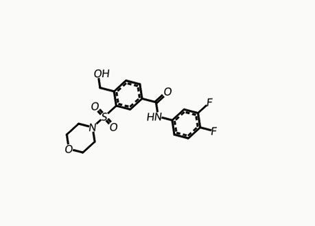 O=C(Nc1ccc(F)c(F)c1)c1ccc(CO)c(S(=O)(=O)N2CCOCC2)c1